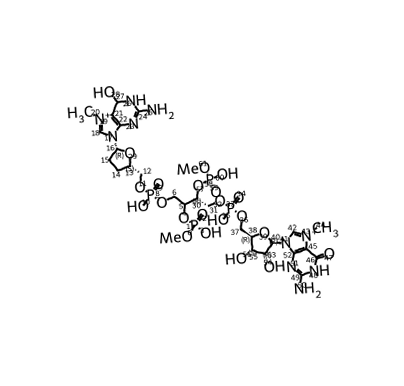 COP(=O)(O)OC(COP(=O)(O)OC[C@@H]1CC[C@H](n2c[n+](C)c3c2N=C(N)NC3O)O1)[C@@H](COP(=O)(O)OC[C@H]1O[C@@H](n2c[n+](C)c3c(=O)[nH]c(N)nc32)[C@H](O)[C@@H]1O)OP(=O)(O)OC